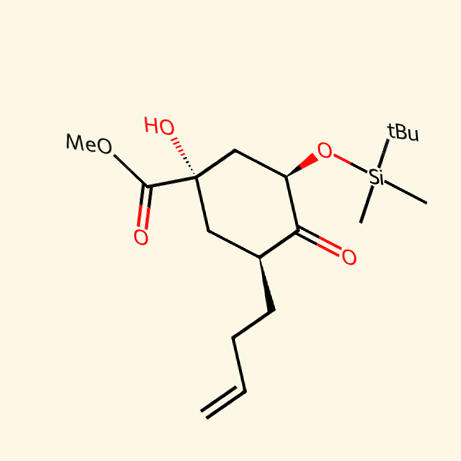 C=CCC[C@H]1C[C@@](O)(C(=O)OC)C[C@@H](O[Si](C)(C)C(C)(C)C)C1=O